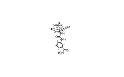 NC(=O)c1cccc(NC(=O)NC23C[C@@H]4C[C@@H](CC(O)(C4)C2)C3)c1